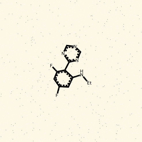 CCNc1cc(F)cc(F)c1-c1ncncn1